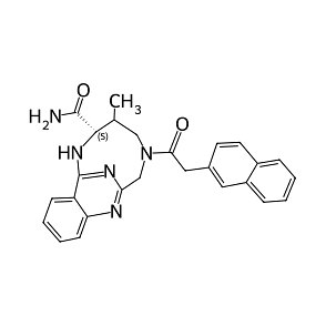 CC1CN(C(=O)Cc2ccc3ccccc3c2)Cc2nc(c3ccccc3n2)N[C@@H]1C(N)=O